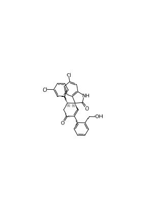 O=C1C[C@@H](c2cccc(Cl)c2)[C@@]2(C=C1c1ccccc1CO)C(=O)Nc1cc(Cl)ccc12